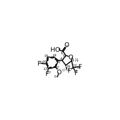 COc1c(C2C(C(=O)O)O[C@@](C)(C(F)(F)F)[C@H]2C)ccc(F)c1F